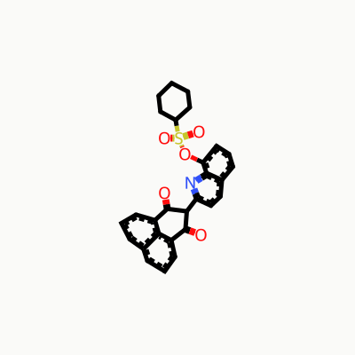 O=C1c2cccc3cccc(c23)C(=O)C1c1ccc2cccc(OS(=O)(=O)C3CCCCC3)c2n1